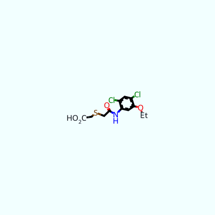 CCOc1cc(NC(=O)CSCC(=O)O)c(Cl)cc1Cl